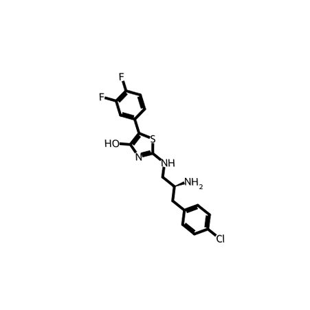 N[C@H](CNc1nc(O)c(-c2ccc(F)c(F)c2)s1)Cc1ccc(Cl)cc1